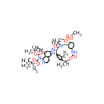 CCOP(=O)(OCC)c1ccc2cc1CN(C)C(=O)C(Nc1ccc3c(N(C(=O)OC(C)(C)C)C(=O)OC(C)(C)C)nccc3c1)c1ccc(c(C)c1)[C@@H](C)COC(=O)N2